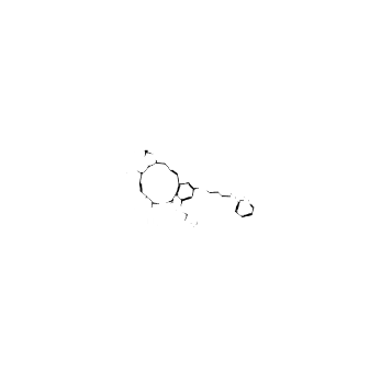 COCOc1cc(OCCCNc2ccccn2)cc2c1C(=O)OC(C)[C@H](C)/C=C\C(C)C1OC(C)(C)OC1C/C=C/2